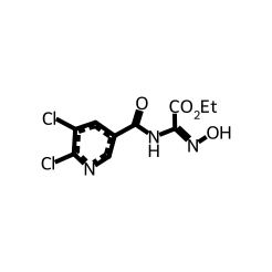 CCOC(=O)/C(=N\O)NC(=O)c1cnc(Cl)c(Cl)c1